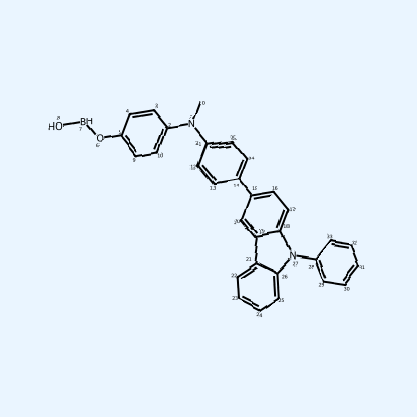 CN(c1ccc(OBO)cc1)c1ccc(-c2ccc3c(c2)c2ccccc2n3-c2ccccc2)cc1